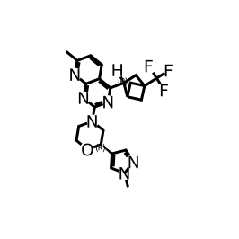 Cc1ccc2c([C@@H]3CC4(C(F)(F)F)CC3C4)nc(N3CCO[C@H](c4cnn(C)c4)C3)nc2n1